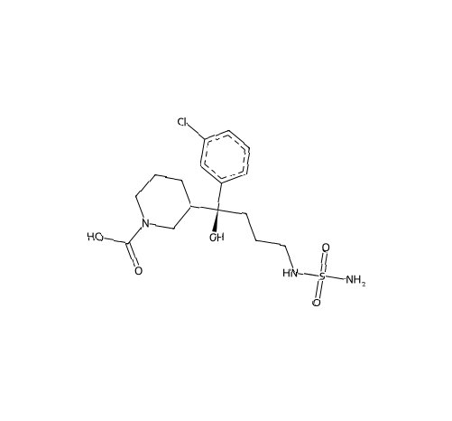 NS(=O)(=O)NCCC[C@@](O)(c1cccc(Cl)c1)C1CCCN(C(=O)O)C1